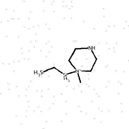 C[N+]1([SiH2]C[SiH3])CCNCC1